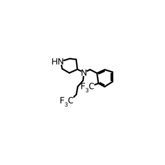 FC(F)(F)CCCN(Cc1ccccc1C(F)(F)F)C1CCNCC1